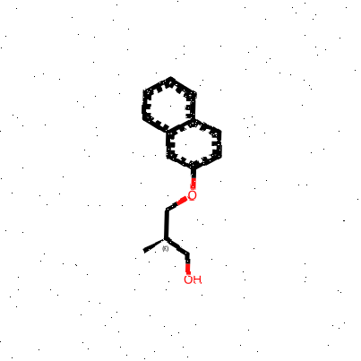 C[C@H](CO)COc1ccc2ccccc2c1